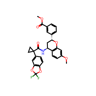 COC(=O)c1cccc([C@H]2C[C@H](NC(=O)C3(c4ccc5c(c4)OC(F)(F)O5)CC3)c3ccc(OC)cc3O2)c1